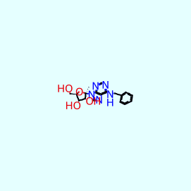 C[C@@]1(n2cnc3c(NCc4ccccc4)ncnc32)O[C@H](CO)[C@@H](O)[C@H]1O